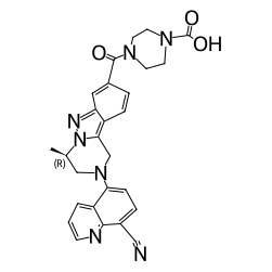 C[C@@H]1CN(c2ccc(C#N)c3ncccc23)Cc2c3ccc(C(=O)N4CCN(C(=O)O)CC4)cc3nn21